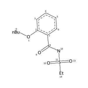 CCCCOc1ccccc1C(=O)[N]S(=O)(=O)CC